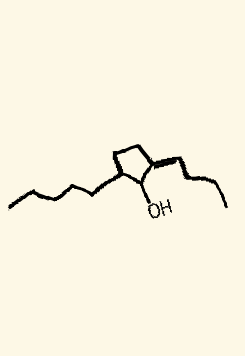 CCCC=C1CCC(CCCCC)C1O